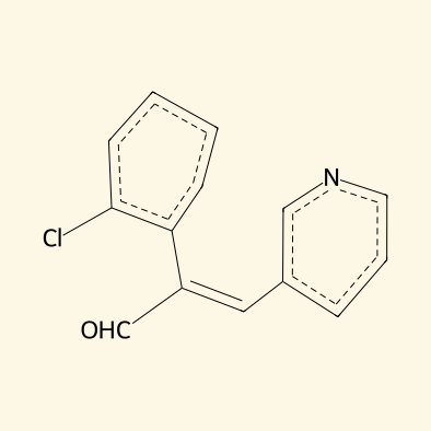 O=CC(=Cc1cccnc1)c1ccccc1Cl